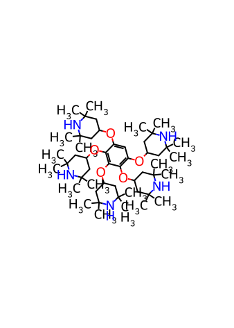 CC1(C)CC(Oc2cc(OC3CC(C)(C)NC(C)(C)C3)c(OC3CC(C)(C)NC(C)(C)C3)c(OC3CC(C)(C)NC(C)(C)C3)c2OC2CC(C)(C)NC(C)(C)C2)CC(C)(C)N1